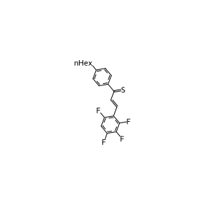 CCCCCCc1ccc(C(=S)C=Cc2c(F)cc(F)c(F)c2F)cc1